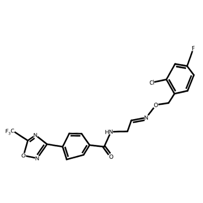 O=C(NCC=NOCc1ccc(F)cc1Cl)c1ccc(-c2noc(C(F)(F)F)n2)cc1